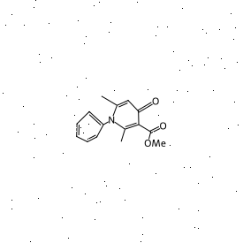 COC(=O)c1c(C)n(-c2ccccc2)c(C)cc1=O